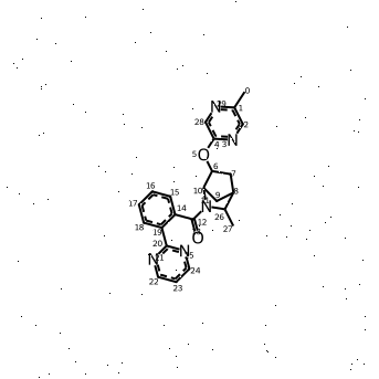 Cc1cnc(OC2CC3CC2N(C(=O)c2ccccc2-c2ncccn2)C3C)cn1